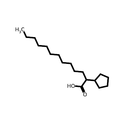 CCCCCCCCCCCC(C(=O)O)C1CCCC1